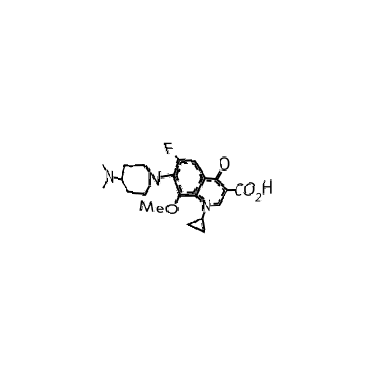 COc1c(N2CCC(N(C)C)CC2)c(F)cc2c(=O)c(C(=O)O)cn(C3CC3)c12